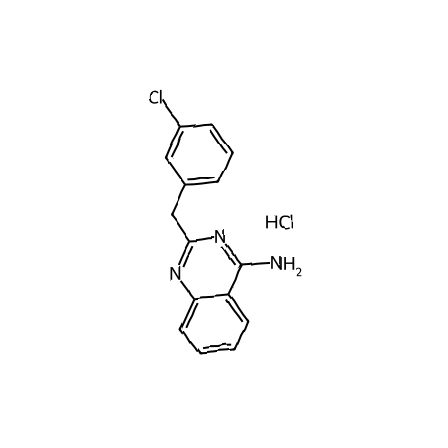 Cl.Nc1nc(Cc2cccc(Cl)c2)nc2ccccc12